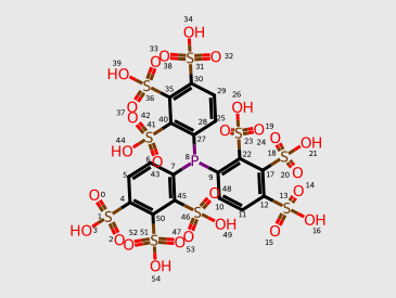 O=S(=O)(O)c1ccc(P(c2ccc(S(=O)(=O)O)c(S(=O)(=O)O)c2S(=O)(=O)O)c2ccc(S(=O)(=O)O)c(S(=O)(=O)O)c2S(=O)(=O)O)c(S(=O)(=O)O)c1S(=O)(=O)O